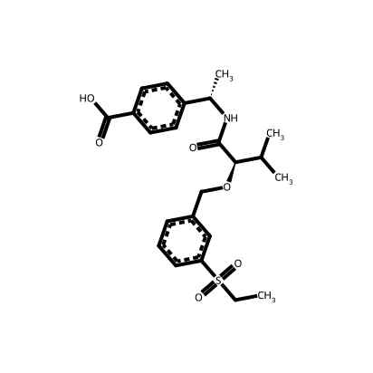 CCS(=O)(=O)c1cccc(CO[C@@H](C(=O)N[C@@H](C)c2ccc(C(=O)O)cc2)C(C)C)c1